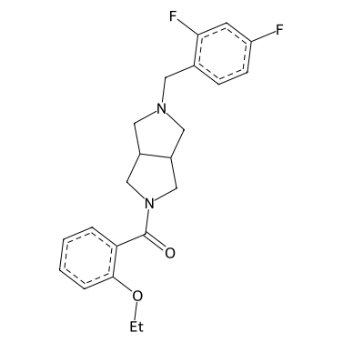 CCOc1ccccc1C(=O)N1CC2CN(Cc3ccc(F)cc3F)CC2C1